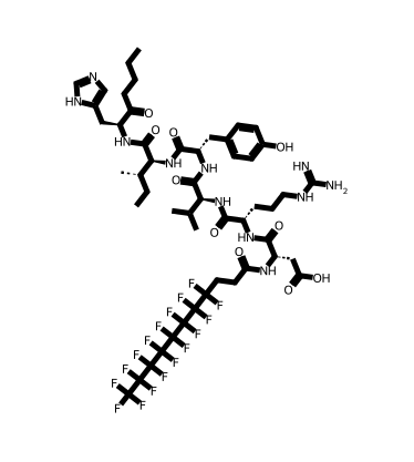 CCCCC(=O)[C@H](Cc1cnc[nH]1)NC(=O)[C@@H](NC(=O)[C@H](Cc1ccc(O)cc1)NC(=O)[C@@H](NC(=O)[C@H](CCCNC(=N)N)NC(=O)[C@H](CC(=O)O)NC(=O)CCC(F)(F)C(F)(F)C(F)(F)C(F)(F)C(F)(F)C(F)(F)C(F)(F)C(F)(F)F)C(C)C)[C@@H](C)CC